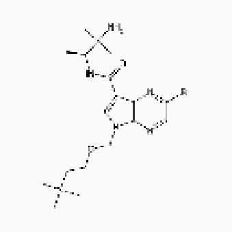 C[C@H](NC(=O)c1cn(COCC[Si](C)(C)C)c2ncc(Br)nc12)C(C)(C)N